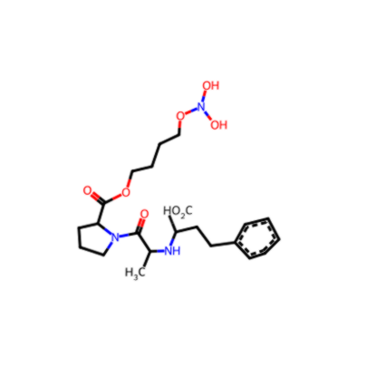 CC(NC(CCc1ccccc1)C(=O)O)C(=O)N1CCCC1C(=O)OCCCCON(O)O